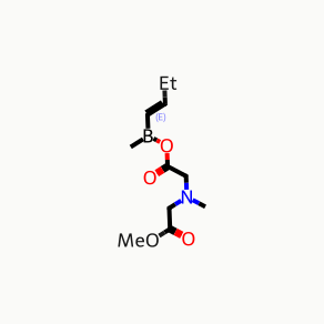 CC/C=C/B(C)OC(=O)CN(C)CC(=O)OC